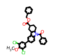 COc1c(Cl)cc(-c2ccc3c(c2)c2c(n3C(=O)c3ccccc3)CCC(C(=O)OCc3ccccc3)C2)cc1Cl